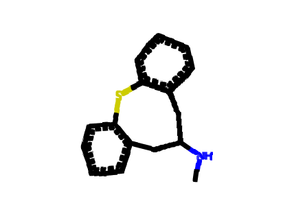 CNC1Cc2ccccc2Sc2ccccc2C1